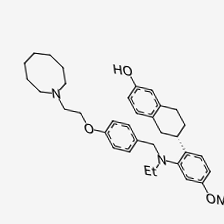 CCN(Cc1ccc(OCCN2CCCCCCC2)cc1)c1cc(OC)ccc1[C@H]1CCc2cc(O)ccc2C1